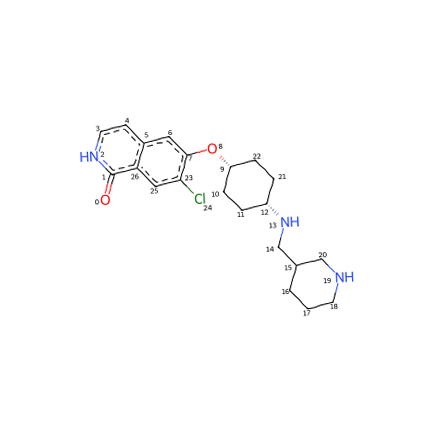 O=c1[nH]ccc2cc(O[C@H]3CC[C@@H](NCC4CCCNC4)CC3)c(Cl)cc12